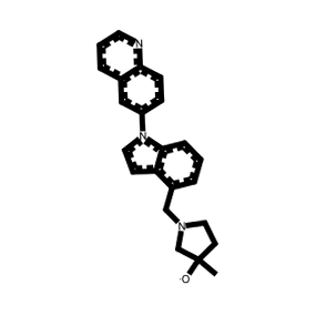 CC1([O])CCN(Cc2cccc3c2ccn3-c2ccc3ncccc3c2)C1